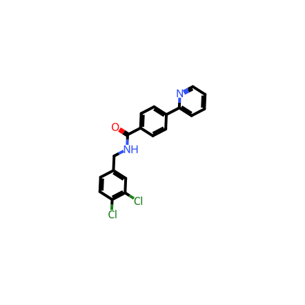 O=C(NCc1ccc(Cl)c(Cl)c1)c1ccc(-c2ccccn2)cc1